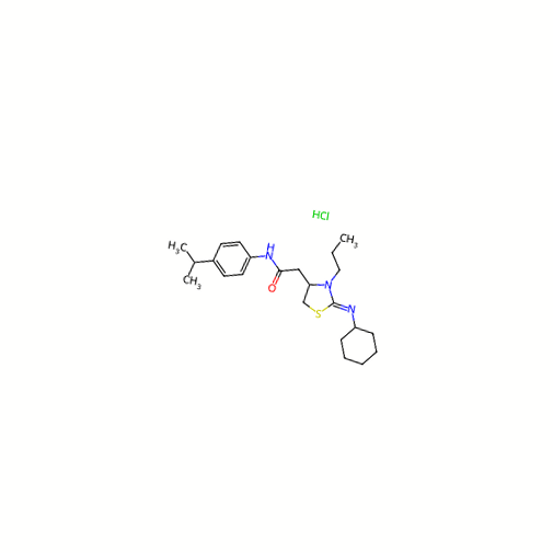 CCCN1/C(=N/C2CCCCC2)SCC1CC(=O)Nc1ccc(C(C)C)cc1.Cl